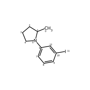 CC1CCCN1c1cccc(I)c1